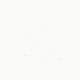 C=C[C@@H]1OC(c2ccc(OC)cc2)O[C@]1(C)CC[C@H](CC(=O)N1C(=S)SC[C@@H]1C(C)(C)C)O[Si](C)(C)C(C)(C)C